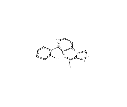 Cc1nc2c(-c3ccccc3Cl)nccc2n2cnnc12